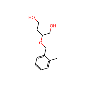 Cc1ccccc1COC(CO)CCO